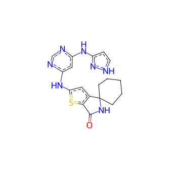 O=C1NC2(CCCCC2)c2cc(Nc3cc(Nc4cc[nH]n4)ncn3)sc21